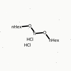 CCCCCC[O][Ti][O]CCCCCC.Cl.Cl